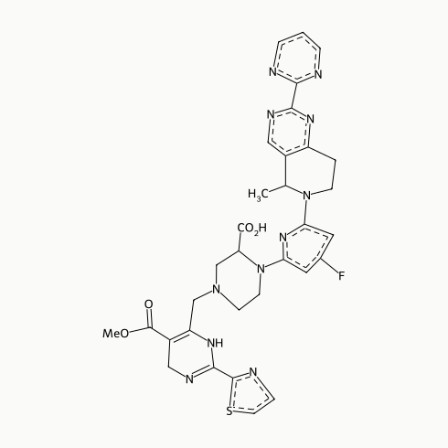 COC(=O)C1=C(CN2CCN(c3cc(F)cc(N4CCc5nc(-c6ncccn6)ncc5C4C)n3)C(C(=O)O)C2)NC(c2nccs2)=NC1